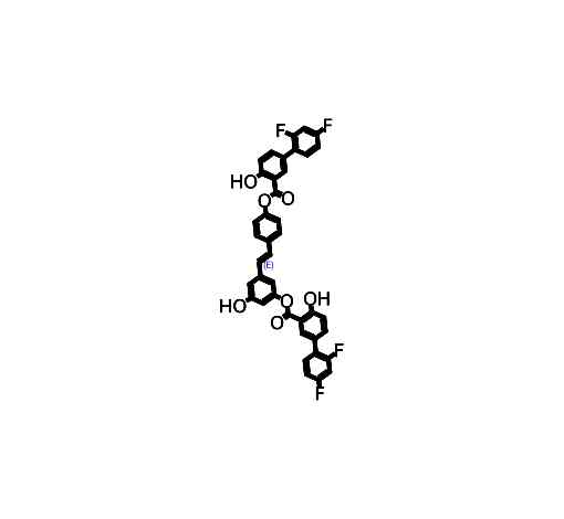 O=C(Oc1ccc(/C=C/c2cc(O)cc(OC(=O)c3cc(-c4ccc(F)cc4F)ccc3O)c2)cc1)c1cc(-c2ccc(F)cc2F)ccc1O